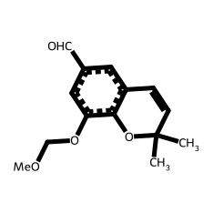 COCOc1cc(C=O)cc2c1OC(C)(C)C=C2